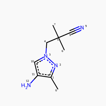 Cc1nn(CC(C)(C)C#N)cc1N